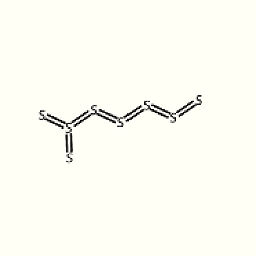 S=S=S=S=S=S(=S)=S